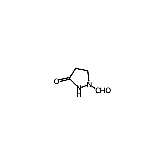 O=CN1CCC(=O)N1